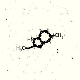 CCc1[c]c2cc(C)ccc2[nH]1